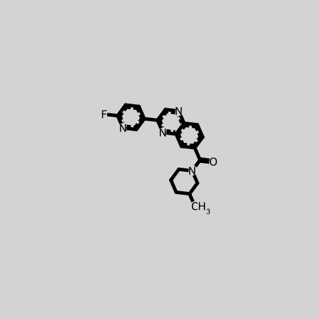 CC1CCCN(C(=O)c2ccc3ncc(-c4ccc(F)nc4)nc3c2)C1